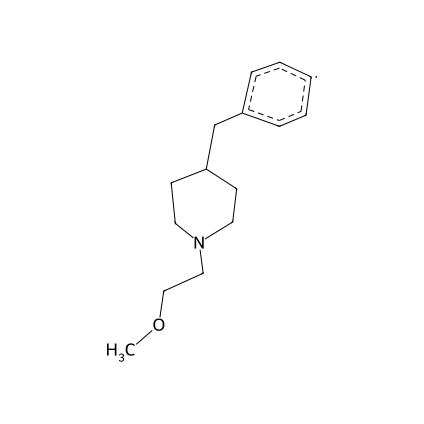 COCCN1CCC(Cc2cc[c]cc2)CC1